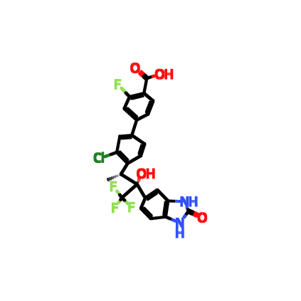 C[C@H](c1ccc(-c2ccc(C(=O)O)c(F)c2)cc1Cl)[C@@](O)(c1ccc2[nH]c(=O)[nH]c2c1)C(F)(F)F